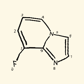 Fc1cccn2[c]cnc12